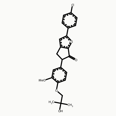 COc1cc(C2Cc3cc(-c4ccc(Cl)cc4)sc3C2=O)ccc1OCC(C)(C)O